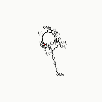 COCCOCCOCCOCCN(C)C(=O)CCCC(=O)N(C)[C@@H](C)C(=O)O[C@H]1CC(=O)N(C)c2cc(cc(OC)c2Cl)C/C(C)=C\C=C\[C@@H](OC)[C@@]2(O)C[C@H](OC(=O)N2)C2C[C@@]1(C)O2